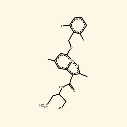 Cc1cc(OCc2c(F)cccc2F)n2nc(C)c(C(=O)NC(CC(=O)O)CC(C)C)c2c1